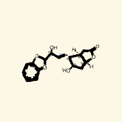 O=C1C[C@@H]2[C@@H](/C=C/[C@H](O)C3Oc4ccccc4O3)[C@H](O)C[C@@H]2O1